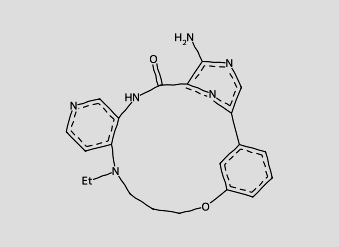 CCN1CCCOc2cccc(c2)-c2cnc(N)c(n2)C(=O)Nc2cnccc21